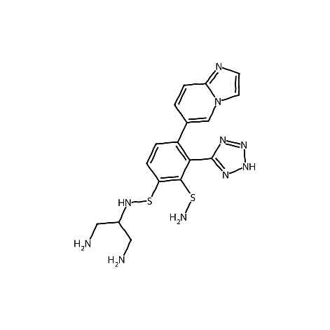 NCC(CN)NSc1ccc(-c2ccc3nccn3c2)c(-c2nn[nH]n2)c1SN